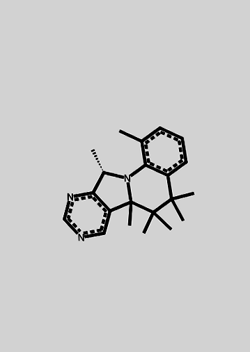 Cc1cccc2c1N1[C@@H](C)c3ncncc3C1(C)C(C)(C)C2(C)C